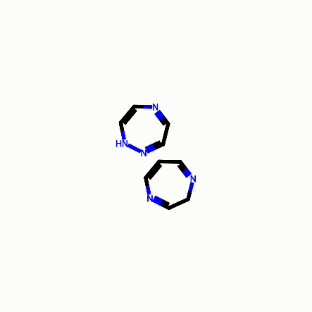 C1=CN=CCN=C1.C1=CNN=CC=N1